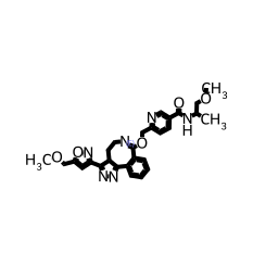 COCc1cc(C2=NN=C3c4ccccc4/C(OCc4ccc(C(=O)NC(C)COC)cn4)=N\CCC23)no1